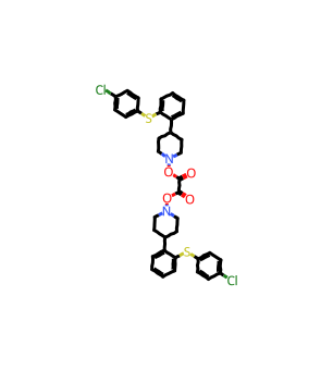 O=C(ON1CCC(c2ccccc2Sc2ccc(Cl)cc2)CC1)C(=O)ON1CCC(c2ccccc2Sc2ccc(Cl)cc2)CC1